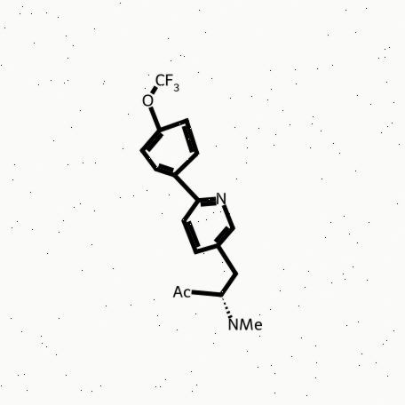 CN[C@@H](Cc1ccc(-c2ccc(OC(F)(F)F)cc2)nc1)C(C)=O